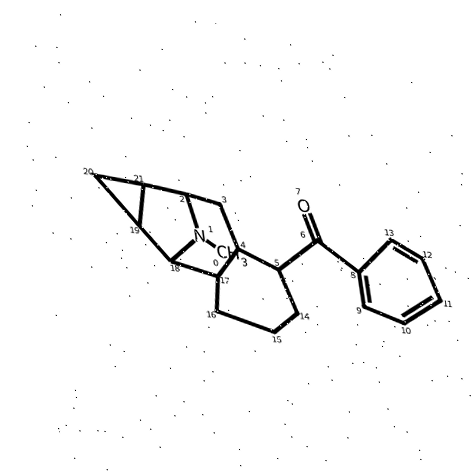 CN1C2CC3C(C(=O)c4ccccc4)CCCC3C1C1CC12